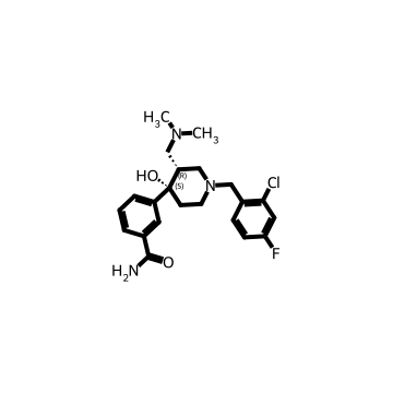 CN(C)C[C@@H]1CN(Cc2ccc(F)cc2Cl)CC[C@@]1(O)c1cccc(C(N)=O)c1